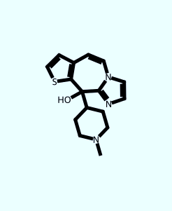 CN1CCC(C2(O)c3sccc3C=Cn3ccnc32)CC1